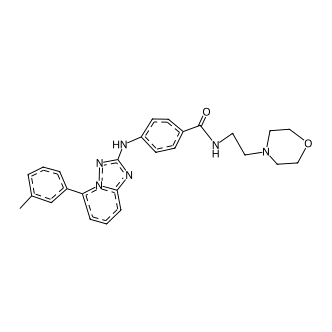 Cc1cccc(-c2cccc3nc(Nc4ccc(C(=O)NCCN5CCOCC5)cc4)nn23)c1